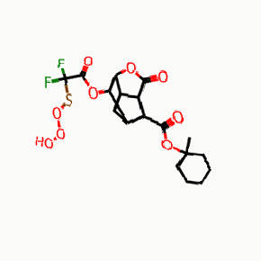 CC1(OC(=O)C2C3CC4C(OC(=O)C42)C3OC(=O)C(F)(F)SOOO)CCCCC1